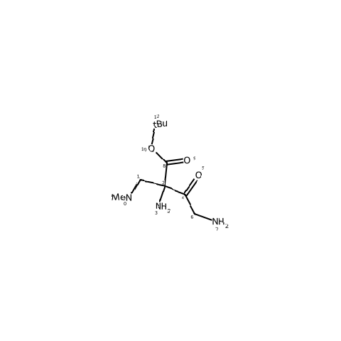 CNCC(N)(C(=O)CN)C(=O)OC(C)(C)C